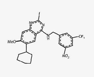 COc1cc2nc(C)nc(NCc3cc([N+](=O)[O-])cc(C(F)(F)F)c3)c2cc1C1CCCCC1